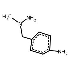 CN(N)Cc1ccc(N)cc1